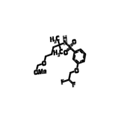 COCOCCCC(C)(C)NS(=O)(=O)c1cccc(OCC(F)F)c1